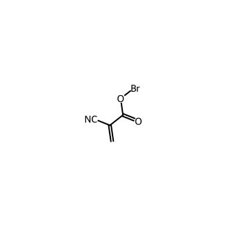 C=C(C#N)C(=O)OBr